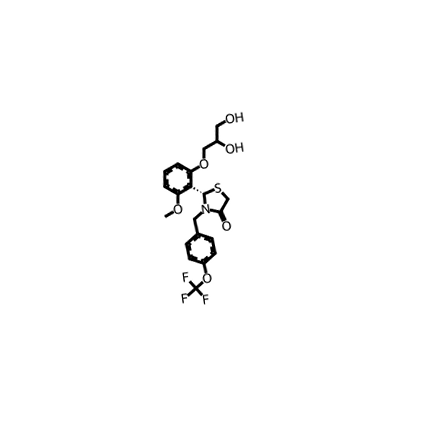 COc1cccc(OCC(O)CO)c1[C@@H]1SCC(=O)N1Cc1ccc(OC(F)(F)F)cc1